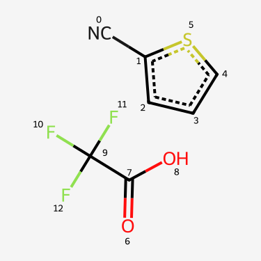 N#Cc1cccs1.O=C(O)C(F)(F)F